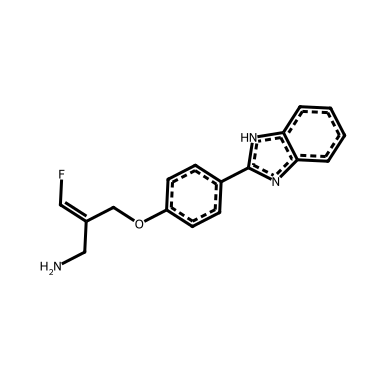 NC/C(=C/F)COc1ccc(-c2nc3ccccc3[nH]2)cc1